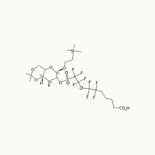 C[C@@H]1C(OS(=O)(=O)C(F)(F)C(F)(F)OC(F)(F)C(F)(F)CCCCC(=O)O)[C@H](OCC[Si](C)(C)C)OC2COC(C)(C)O[C@H]21